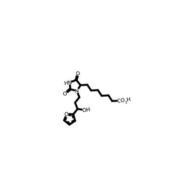 O=C(O)CCCCCCC1C(=O)NC(=O)N1CCC(O)c1ccco1